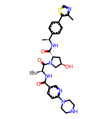 Cc1ncsc1-c1ccc([C@H](C)NC(=O)[C@@H]2C[C@@H](O)CN2C(=O)[C@@H](NC(=O)c2ccc(N3CCNCC3)nc2)C(C)(C)C)cc1